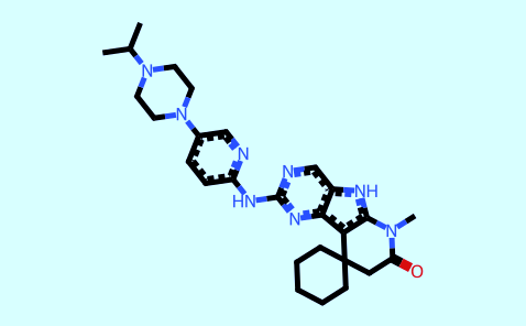 CC(C)N1CCN(c2ccc(Nc3ncc4[nH]c5c(c4n3)C3(CCCCC3)CC(=O)N5C)nc2)CC1